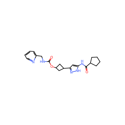 O=C(NCc1ccccn1)OC1CC(c2cc(NC(=O)C3CCCC3)[nH]n2)C1